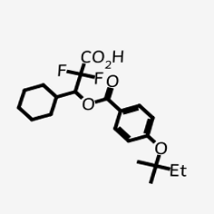 CCC(C)(C)Oc1ccc(C(=O)OC(C2CCCCC2)C(F)(F)C(=O)O)cc1